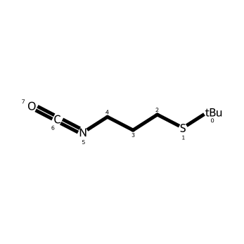 CC(C)(C)SCCCN=C=O